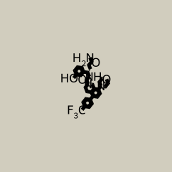 NC(=O)CC[C@H](NC(=O)N1CCc2c(-c3ccc(C(F)(F)F)cc3)ccc(N3CCOCC3)c2C1)c1cccc(O)c1